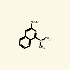 CC(=O)Nc1cc2ccccc2c(N(C)C)n1